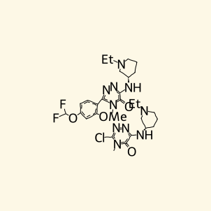 CCN1CCC[C@@H](Nc2nnc(-c3ccc(OC(F)F)cc3OC)n(C)c2=O)C1.CCN1CCC[C@@H](Nc2nnc(Cl)n(C)c2=O)C1